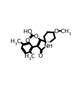 CO[C@H]1CC[C@]2(CC1)NC(=O)C(c1cc(C)ccc1C)=C2OC(=O)O